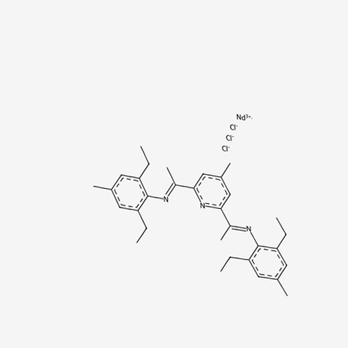 CCc1cc(C)cc(CC)c1N=C(C)c1cc(C)cc(C(C)=Nc2c(CC)cc(C)cc2CC)n1.[Cl-].[Cl-].[Cl-].[Nd+3]